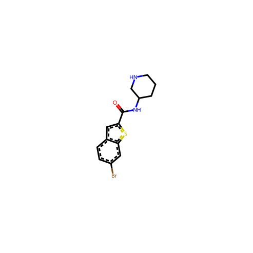 O=C(NC1CCCNC1)c1cc2ccc(Br)cc2s1